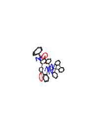 c1ccc(-c2nc(-c3cccc4oc5ccc(-c6ccc7oc(-c8ccccc8)nc7c6)cc5c34)nc(C3(c4ccccc4)c4ccccc4-c4ccccc43)n2)cc1